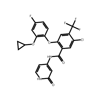 O=C(Nc1cc[nH]c(=O)c1)c1cc(Cl)c(C(F)(F)F)cc1Oc1ccc(F)cc1OC1CC1